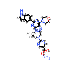 CCCCN(Cc1nc2c(N3CCOCC3)nc(-c3ccc4[nH]ccc4c3)nc2n1C)c1ncc(C(=O)ON)cn1